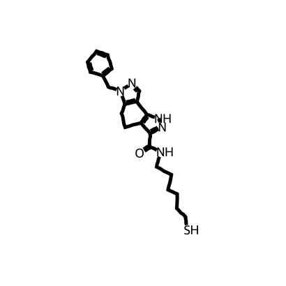 O=C(NCCCCCCS)c1n[nH]c2c1CCc1c-2cnn1Cc1ccccc1